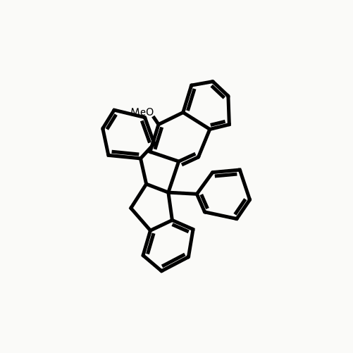 COc1cc(C2(c3ccccc3)c3ccccc3CC2c2ccccc2)cc2ccccc12